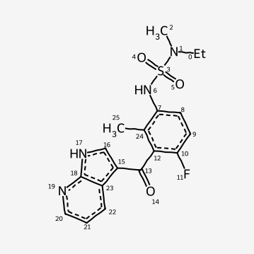 CCN(C)S(=O)(=O)Nc1ccc(F)c(C(=O)c2c[nH]c3ncccc23)c1C